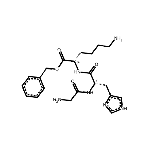 NCCCC[C@H](NC(=O)[C@H](Cc1c[nH]cn1)NC(=O)CN)C(=O)OCc1ccccc1